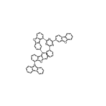 c1ccc(-c2nc(-c3ccc4c(c3)oc3ccccc34)nc(-c3cccc4oc5ccc(-c6cccc7oc8c(-n9c%10ccccc%10c%10ccccc%109)cccc8c67)cc5c34)n2)cc1